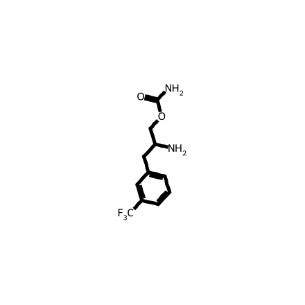 NC(=O)OCC(N)Cc1cccc(C(F)(F)F)c1